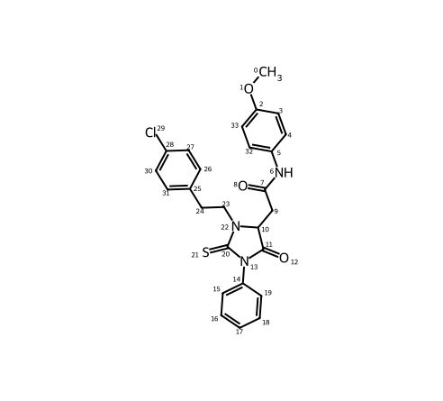 COc1ccc(NC(=O)CC2C(=O)N(c3ccccc3)C(=S)N2CCc2ccc(Cl)cc2)cc1